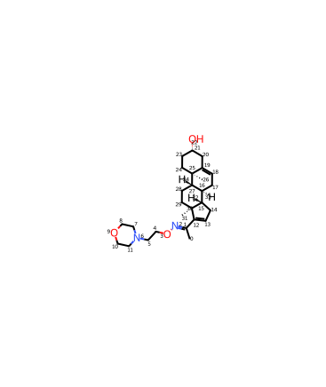 CC(=NOCCN1CCOCC1)C1=CC[C@H]2[C@@H]3CC=C4C[C@@H](O)CC[C@]4(C)[C@H]3CC[C@]12C